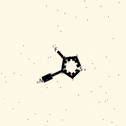 N#Cc1cscc1F